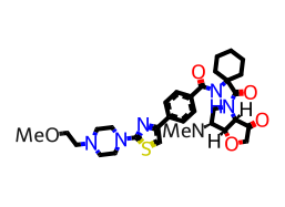 CN[C@H]1CN(C(=O)C2(NC(=O)c3ccc(-c4csc(N5CCN(CCOC)CC5)n4)cc3)CCCCC2)[C@@H]2C(=O)CO[C@H]12